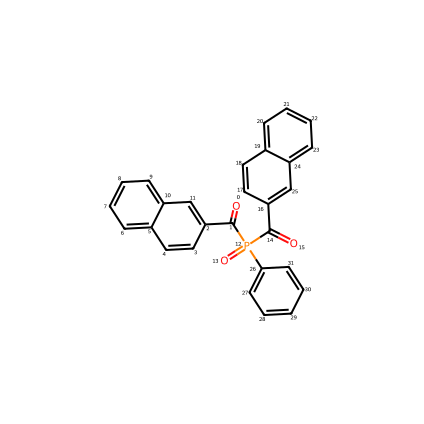 O=C(c1ccc2ccccc2c1)P(=O)(C(=O)c1ccc2ccccc2c1)c1ccccc1